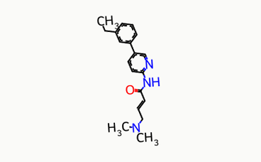 CCc1cccc(-c2ccc(NC(=O)/C=C/CN(C)C)nc2)c1